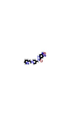 O=C(NCC1CCN(CCc2ccccn2)CC1)c1ccc2nonc2c1